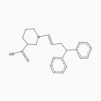 O=C(O)C1CCCN(C=CCC(c2ccccc2)c2ccccc2)C1